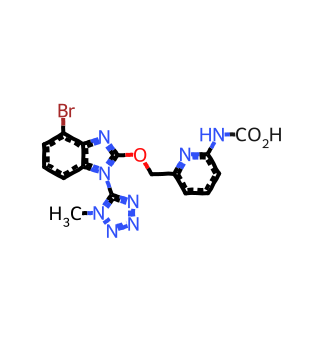 Cn1nnnc1-n1c(OCc2cccc(NC(=O)O)n2)nc2c(Br)cccc21